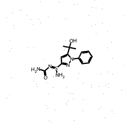 CC(C)(O)c1cc(/S(N)=N/C(N)=O)nn1-c1ccccc1